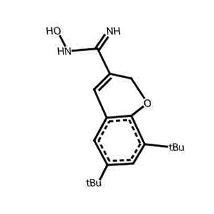 CC(C)(C)c1cc2c(c(C(C)(C)C)c1)OCC(C(=N)NO)=C2